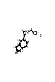 CCN1CC1c1ccc2occc2c1